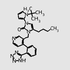 CCCCc1cn(-c2cccn2C(C)(C)C)c(=O)n1Cc1cnccc1-c1ccccc1-c1nnn[nH]1